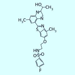 Cc1cc(-c2nc3c(C)cc(OCCNS(=O)(=O)c4ccc(F)cc4)cc3s2)c2ncc(C(C)O)nc2c1